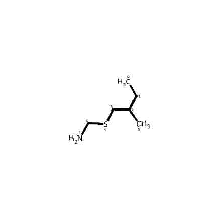 CCC(C)CSCN